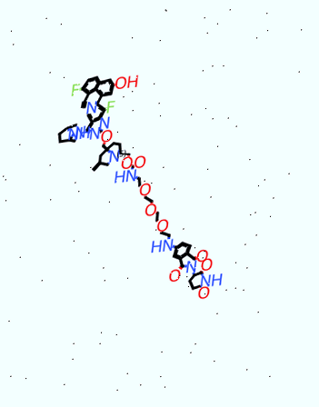 C#Cc1c(F)ccc2cc(O)cc(-c3ncc4c(N5CC6CCC(C5)N6)nc(OCC56CC[C@@H](COC(=O)NCCOCCOCCOCCNc7ccc8c(c7)C(=O)N(C7CCC(=O)NC7=O)C8=O)N5CC(=C)C6)nc4c3F)c12